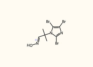 CC(C)(/C=N/O)n1c(Br)nc(Br)c1Br